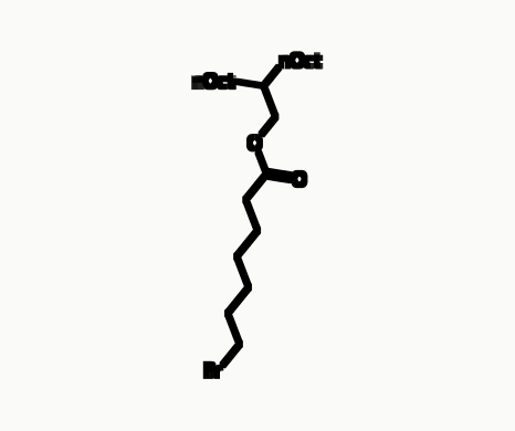 CCCCCCCCC(CCCCCCCC)COC(=O)CCCCCCBr